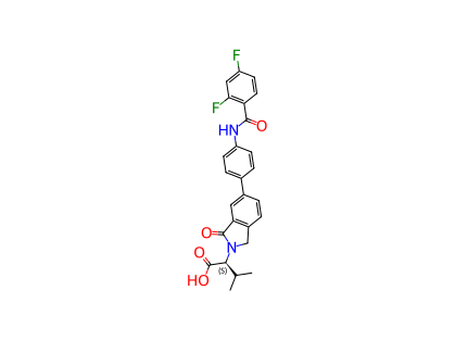 CC(C)[C@@H](C(=O)O)N1Cc2ccc(-c3ccc(NC(=O)c4ccc(F)cc4F)cc3)cc2C1=O